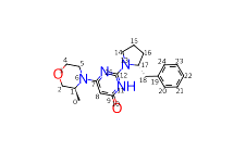 C[C@H]1COCCN1c1cc(=O)[nH]c(N2CCC[C@@H]2Cc2ccccc2)n1